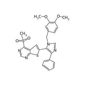 COc1ccc(Cn2cnc(-c3ccccc3)c2-c2cc3c(S(C)(=O)=O)ncnc3s2)cc1OC